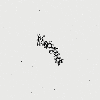 CC1CC(Nc2nc3cc(NC(=O)c4ccc(-c5ccc(F)c(F)c5)s4)ccc3o2)CCN1C